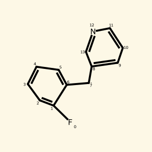 Fc1ccccc1[CH]c1cccnc1